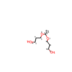 CCC(OCCCO)OCCCO